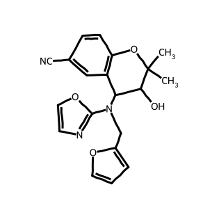 CC1(C)Oc2ccc(C#N)cc2C(N(Cc2ccco2)c2ncco2)C1O